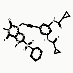 Cn1c(=O)c2c(nc(S(=O)(=O)c3ccccc3)n2C)n(CC#Cc2cc(NC(=O)C3CC3)cc(NC(=O)C3CC3)c2)c1=O